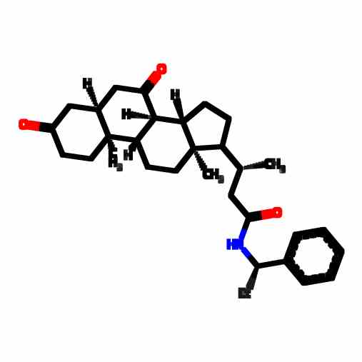 CC[C@@H](NC(=O)C[C@@H](C)C1CC[C@H]2[C@@H]3C(=O)C[C@@H]4CC(=O)CC[C@]4(C)[C@H]3CC[C@]12C)c1ccccc1